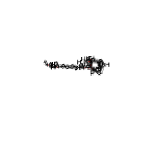 CCC(NC(=N)N)[C@@H]1NC(=O)[C@H](CCCCNC(=O)CCOCCOCCOCCOCCNC(=O)Cn2cc(CCCF)nn2)NC(=O)N(Cc2ccccc2)NC(=O)[C@H](CC(=O)O)NC(=O)CNC1=O